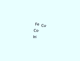 [Co].[Cu].[Fe].[In]